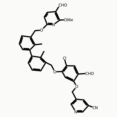 COc1nc(OCc2cccc(-c3cccc(COc4cc(OCc5cncc(C#N)c5)c(C=O)cc4Cl)c3C)c2C)ccc1C=O